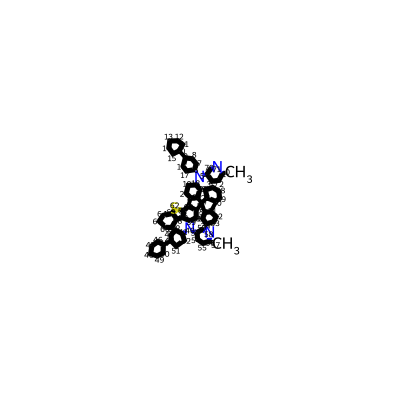 Cc1ccc(N(c2ccc(-c3ccccc3)cc2)c2ccc3c(c2)C2(c4ccccc4-c4ccccc42)c2cc(N(c4ccc(-c5ccccc5)cc4)c4ccc(C)nc4)c4c(sc5ccccc54)c2-3)cn1